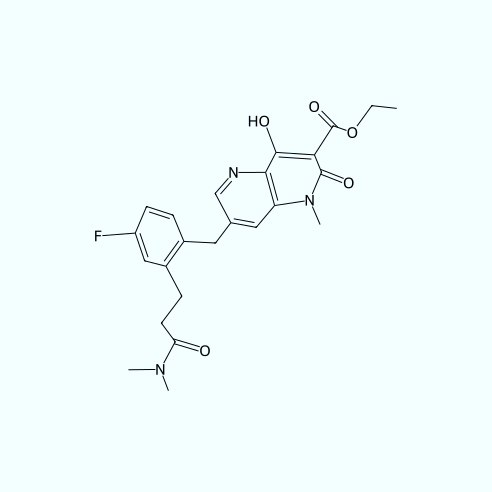 CCOC(=O)c1c(O)c2ncc(Cc3ccc(F)cc3CCC(=O)N(C)C)cc2n(C)c1=O